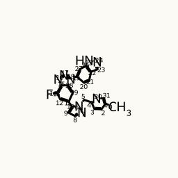 Cc1ccc(Cn2nccc2-c2cc(F)c3nnn(-c4ccc5cn[nH]c5c4)c3c2)nc1